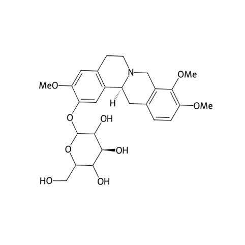 COc1cc2c(cc1OC1OC(CO)C(O)[C@H](O)C1O)[C@@H]1Cc3ccc(OC)c(OC)c3CN1CC2